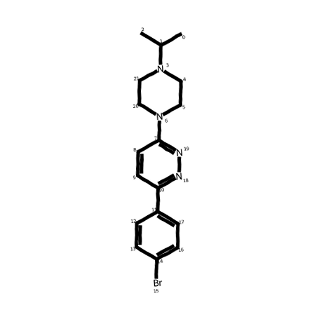 CC(C)N1CCN(c2ccc(-c3ccc(Br)cc3)nn2)CC1